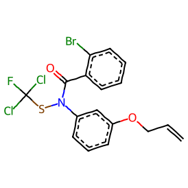 C=CCOc1cccc(N(SC(F)(Cl)Cl)C(=O)c2ccccc2Br)c1